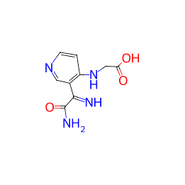 N=C(C(N)=O)c1cnccc1NCC(=O)O